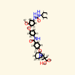 CCC(CC)NC(=O)Nc1ccc(Oc2ccc(NC(=O)c3ccc(OC45CCCC(CC4)N5CC(C)(C)C(=O)O)cc3)cc2)c(OC)c1